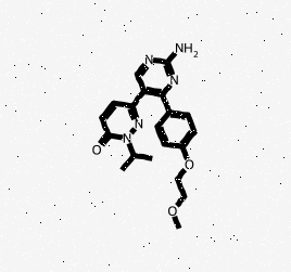 COCCOc1ccc(-c2nc(N)ncc2-c2ccc(=O)n(C(C)C)n2)cc1